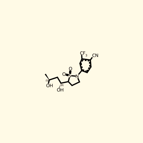 C[C@H](O)C[C@@H](O)C1CCN(c2ccc(C#N)c(C(F)(F)F)c2)S1(=O)=O